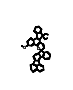 CCC1(CC)c2ccccc2-c2c1c1c(c3cc(OC)ccc23)OC(c2ccccc2)(c2ccc3c(c2)-c2cccc4cccc-3c24)C=C1